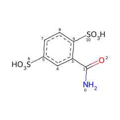 NC(=O)c1cc(S(=O)(=O)O)ccc1S(=O)(=O)O